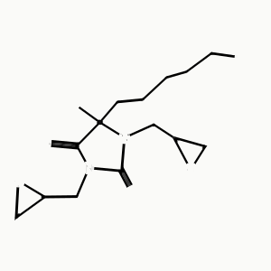 CCCCCCC1(C)C(=O)N(CC2CO2)C(=O)N1CC1CO1